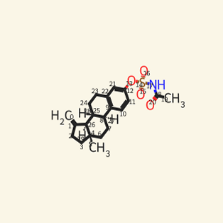 C=C1CC[C@@]2(C)CC[C@@H]3c4ccc(OS(=O)(=O)NC(C)=O)cc4CC[C@H]3[C@H]12